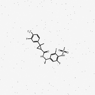 C[C@@H](NC(=O)C1CC1(C)c1ccc(C(F)(F)F)c(F)c1)c1cc(F)c(NS(C)(=O)=O)c(F)c1